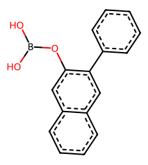 OB(O)Oc1cc2ccccc2cc1-c1ccccc1